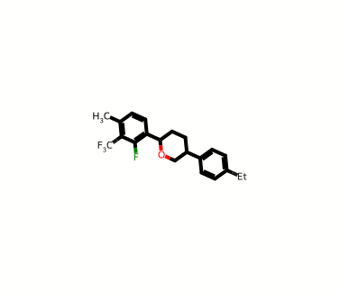 CCc1ccc(C2CCC(c3ccc(C)c(C(F)(F)F)c3F)OC2)cc1